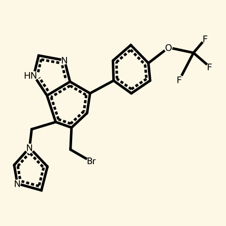 FC(F)(F)Oc1ccc(-c2cc(CBr)c(Cn3ccnc3)c3[nH]cnc23)cc1